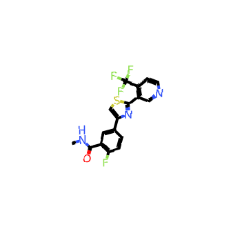 CNC(=O)c1cc(-c2csc(-c3cnccc3C(F)(F)F)n2)ccc1F